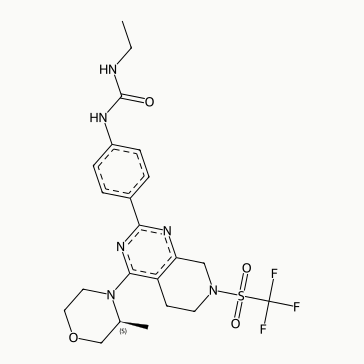 CCNC(=O)Nc1ccc(-c2nc3c(c(N4CCOC[C@@H]4C)n2)CCN(S(=O)(=O)C(F)(F)F)C3)cc1